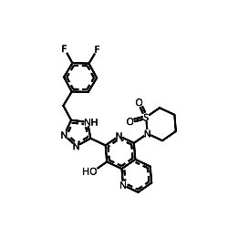 O=S1(=O)CCCCN1c1nc(-c2nnc(Cc3ccc(F)c(F)c3)[nH]2)c(O)c2ncccc12